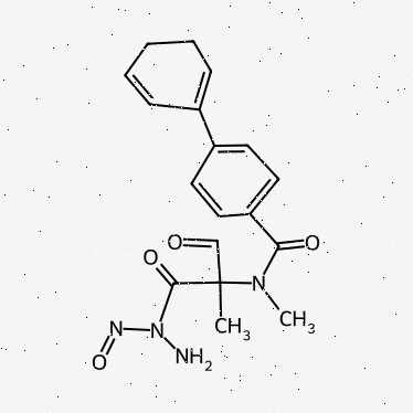 CN(C(=O)c1ccc(C2=CCCC=C2)cc1)C(C)(C=O)C(=O)N(N)N=O